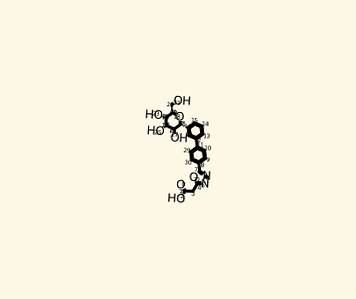 O=C(O)Cc1nnc(-c2ccc(-c3cccc([C@H]4O[C@H](CO)[C@@H](O)[C@H](O)[C@@H]4O)c3)cc2)o1